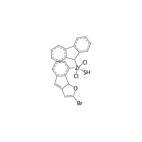 [SH][Zr]([Cl])([Cl])([c]1cccc2c1C1OC(Br)=CC1=C2)[CH]1c2ccccc2-c2ccccc21